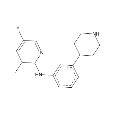 CC1C=C(F)C=NC1Nc1cccc(C2CCNCC2)c1